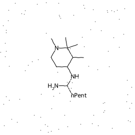 CCCCCC(N)NC1CCN(C)C(C)(C)C1C